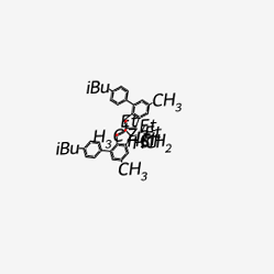 CCC1=Cc2c(-c3ccc(C(C)CC)cc3)cc(C)cc2[CH]1[Zr](=[SiH2])([CH2]C)([CH2]C)[CH]1C(C)=Cc2c(-c3ccc(C(C)CC)cc3)cc(C)cc21.Cl.Cl